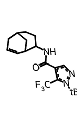 CC(C)(C)n1ncc(C(=O)NC2CCC3CC=CC2C3)c1C(F)(F)F